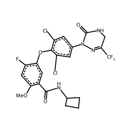 COc1cc(F)c(Oc2c(Cl)cc(N3N=C(C(F)(F)F)CNC3=O)cc2Cl)cc1C(=O)NC1CCC1